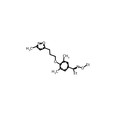 CCON=C(CC)c1cc(C)c(OCCCc2cc(C)no2)c(C)c1